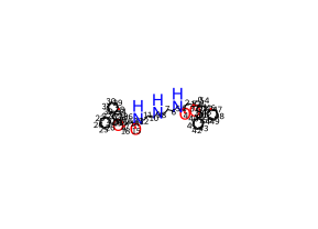 CC(CC(=O)NCCCNCCCNC(=O)CC(C)O[Si](c1ccccc1)(c1ccccc1)C(C)(C)C)O[Si](c1ccccc1)(c1ccccc1)C(C)(C)C